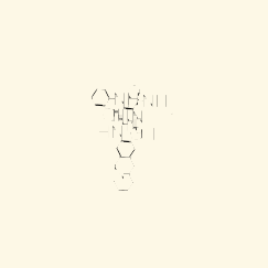 COc1cc2c(cc1Nc1nnc(C(N)=O)c(Nc3ccccc3O)n1)CN1CCCCC1C2